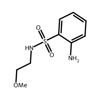 COCCNS(=O)(=O)c1ccccc1N